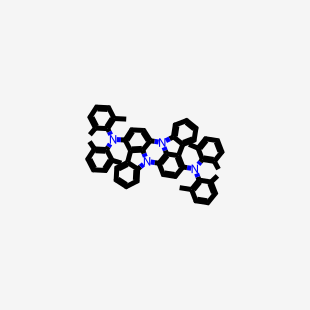 Cc1cccc(C)c1N(c1c(C)cccc1C)c1ccc2c3c1c1ccccc1n3c1ccc(N(c3c(C)cccc3C)c3c(C)cccc3C)c3c4ccccc4n2c31